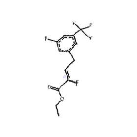 CCOC(=O)/C(F)=C/Cc1cc(F)cc(C(F)(F)F)c1